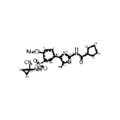 COc1ccc(-c2sc(NC(=O)C3CCCC3)nc2C)cc1S(=O)(=O)NC1(C#N)CC1